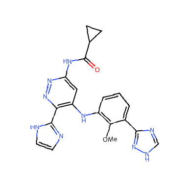 COc1c(Nc2cc(NC(=O)C3CC3)nnc2-c2ncc[nH]2)cccc1-c1nc[nH]n1